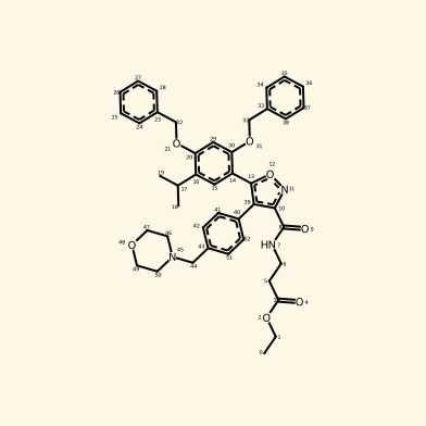 CCOC(=O)CCNC(=O)c1noc(-c2cc(C(C)C)c(OCc3ccccc3)cc2OCc2ccccc2)c1-c1ccc(CN2CCOCC2)cc1